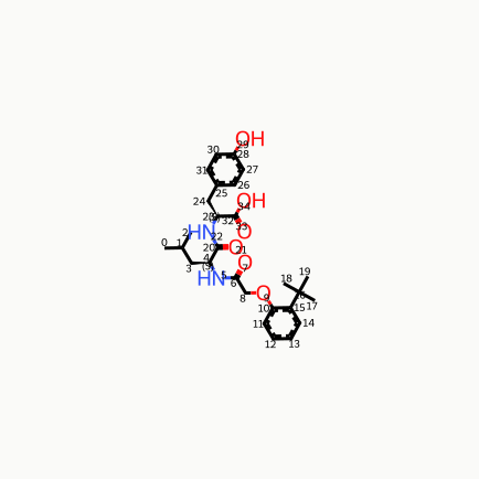 CC(C)C[C@H](NC(=O)COc1ccccc1C(C)(C)C)C(=O)N[C@@H](Cc1ccc(O)cc1)C(=O)O